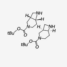 CC(C)(C)OC(=O)N1CC[C@@H]2NC[C@@H]2C1.CC(C)(C)OC(=O)N1CC[C@H]2NC[C@H]2C1